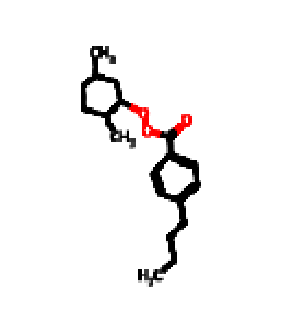 CCCCc1ccc(C(=O)OO[C]2CC(C)CCC2C)cc1